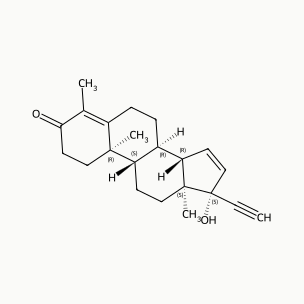 C#C[C@]1(O)C=C[C@H]2[C@@H]3CCC4=C(C)C(=O)CC[C@]4(C)[C@H]3CC[C@@]21C